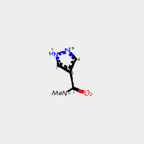 CNC(=O)c1[c]n[nH]c1